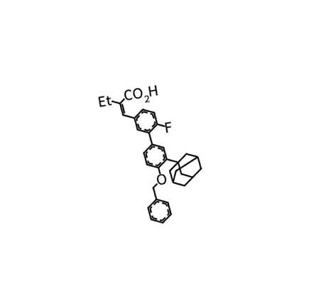 CCC(=Cc1ccc(F)c(-c2ccc(OCc3ccccc3)c(C34CC5CC(CC(C5)C3)C4)c2)c1)C(=O)O